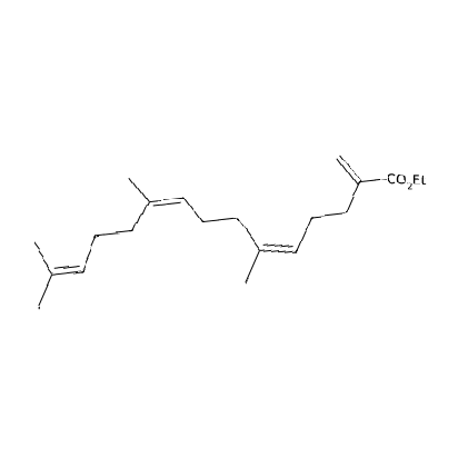 C=C(CCC=C(C)CCC=C(C)CCC=C(C)C)C(=O)OCC